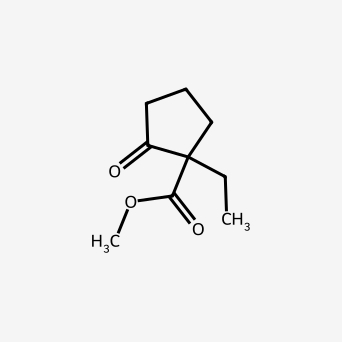 CCC1(C(=O)OC)CCCC1=O